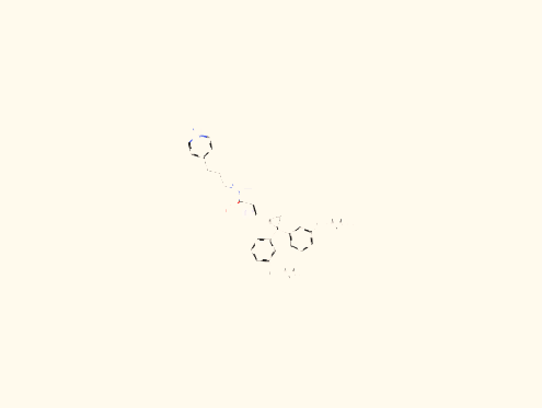 COc1cccc(C2(c3cccc(OC)c3)C[C@H]2/C=C/C(=O)NCCCc2ccncc2)c1